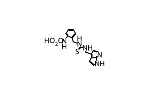 O=C(O)Nc1ccccc1CNC(=S)NCc1ccnc2[nH]ccc12